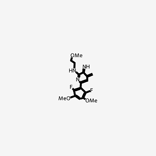 C=C1C=C(c2c(F)c(OC)cc(OC)c2F)N=C(NCCOC)C1=N